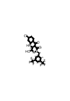 O=c1c2ccc(Cl)cc2[nH]c2c(O)nn(Cc3cc(C(F)(F)F)cc(C(F)(F)F)c3)c(=O)c12